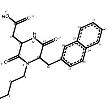 CCCCN1C(=O)C(CC(=O)O)NC(=O)C1Cc1ccc2ccccc2c1